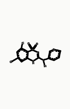 CCN(C1=NS(=O)(=O)c2c(Cl)cc(Cl)cc2N1)c1cccnc1